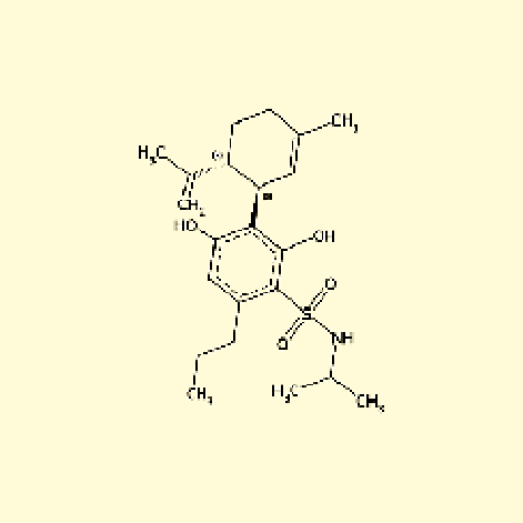 C=C(C)[C@@H]1CCC(C)=C[C@H]1c1c(O)cc(CCC)c(S(=O)(=O)NC(C)C)c1O